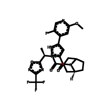 COc1cc(-c2cc(C(=O)N3C4CC[C@H]3CC(C(=O)N[C@H](C)c3nc(C(F)(F)F)no3)C4)n[nH]2)c(F)cn1